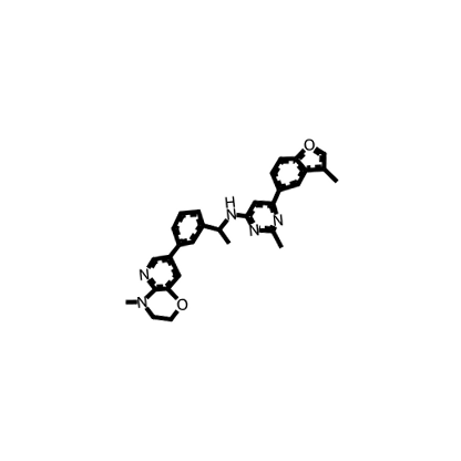 Cc1nc(NC(C)c2cccc(-c3cnc4c(c3)OCCN4C)c2)cc(-c2ccc3occ(C)c3c2)n1